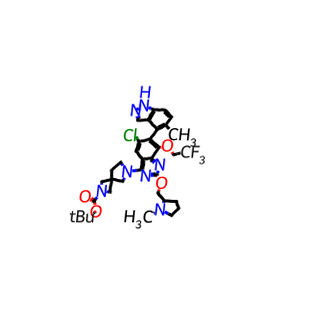 Cc1ccc2[nH]ncc2c1-c1c(Cl)cc2c(N3CCC4(CN(C(=O)OC(C)(C)C)C4)C3)nc(OCC3CCCN3C)nc2c1OCC(F)(F)F